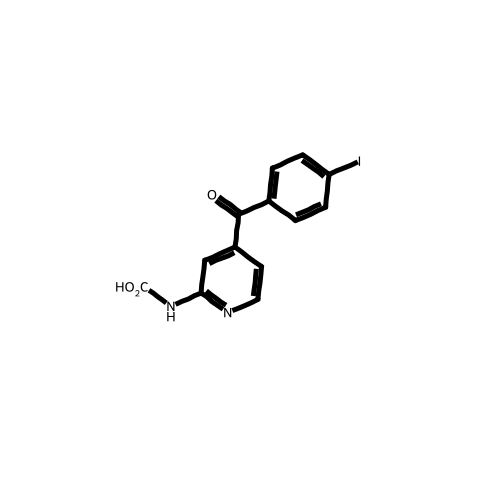 O=C(O)Nc1cc(C(=O)c2ccc(I)cc2)ccn1